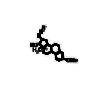 COc1ccc2c(c1)CCC1C2CC[C@@]2(C)C1CC(N=[N+]=[N-])[C@H]2O